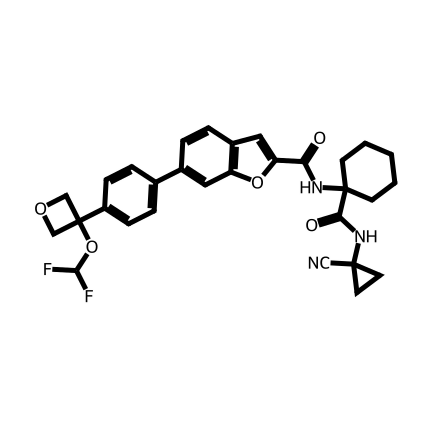 N#CC1(NC(=O)C2(NC(=O)c3cc4ccc(-c5ccc(C6(OC(F)F)COC6)cc5)cc4o3)CCCCC2)CC1